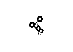 c1ccc(-n2c3ccccc3c3cc4occc4cc32)cc1